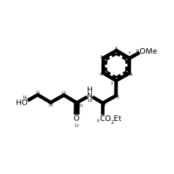 CCOC(=O)C(Cc1cccc(OC)c1)NC(=O)CCCO